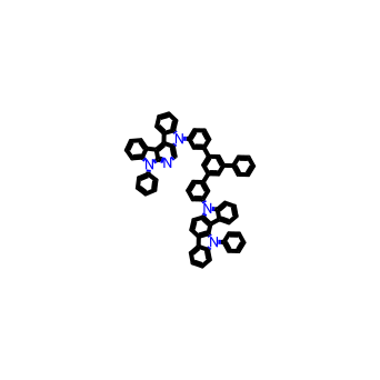 c1ccc(-c2cc(-c3cccc(-n4c5ccccc5c5c6c7ccccc7n(-c7ccccc7)c6ncc54)c3)cc(-c3cccc(-n4c5ccccc5c5c4ccc4c6ccccc6n(-c6ccccc6)c45)c3)c2)cc1